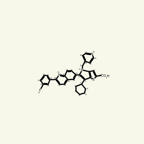 O=C(O)c1cc2c(s1)c(C1CCCCC1)c(-c1ccc3nc(-c4cccc(F)c4)ccc3c1)n2Cc1ccncc1